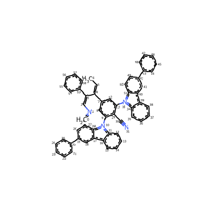 C=N/C=C(\C(=C/C)c1cc(-n2c3ccccc3c3cc(-c4ccccc4)ccc32)c(C#N)c(-n2c3ccccc3c3cc(-c4ccccc4)ccc32)c1)c1ccccc1